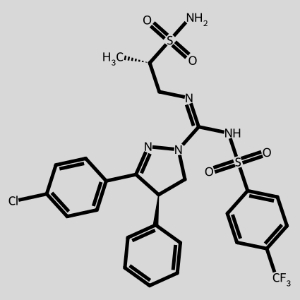 C[C@@H](C/N=C(/NS(=O)(=O)c1ccc(C(F)(F)F)cc1)N1C[C@@H](c2ccccc2)C(c2ccc(Cl)cc2)=N1)S(N)(=O)=O